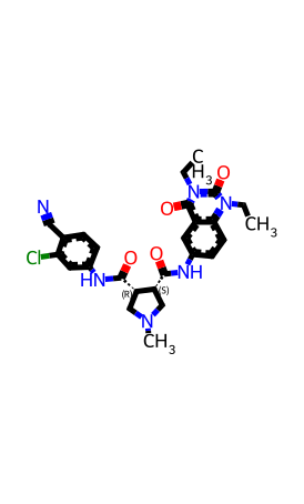 CCn1c(=O)c2cc(NC(=O)[C@@H]3CN(C)C[C@@H]3C(=O)Nc3ccc(C#N)c(Cl)c3)ccc2n(CC)c1=O